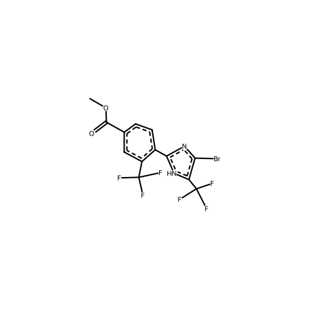 COC(=O)c1ccc(-c2nc(Br)c(C(F)(F)F)[nH]2)c(C(F)(F)F)c1